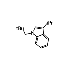 CC(C)c1cn(CC(C)(C)C)c2ccccc12